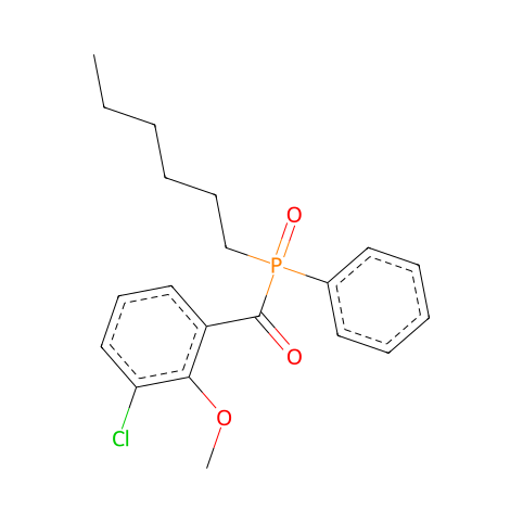 CCCCCCP(=O)(C(=O)c1cccc(Cl)c1OC)c1ccccc1